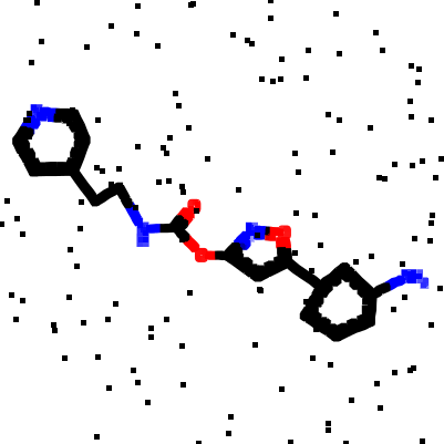 Nc1cccc(-c2cc(OC(=O)NCCc3ccncc3)no2)c1